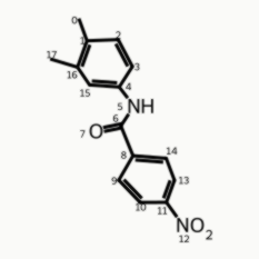 Cc1ccc(NC(=O)c2ccc([N+](=O)[O-])cc2)cc1C